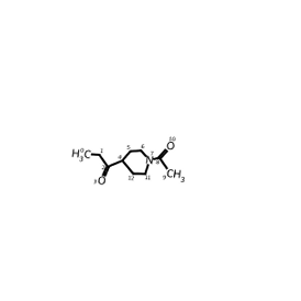 CCC(=O)C1CCN(C(C)=O)CC1